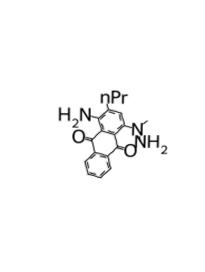 CCCc1cc(N(C)N)c2c(c1N)C(=O)c1ccccc1C2=O